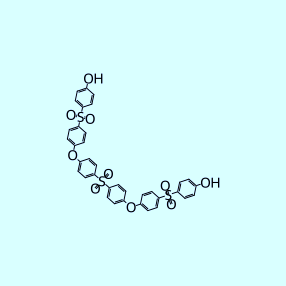 O=S(=O)(c1ccc(O)cc1)c1ccc(Oc2ccc(S(=O)(=O)c3ccc(Oc4ccc(S(=O)(=O)c5ccc(O)cc5)cc4)cc3)cc2)cc1